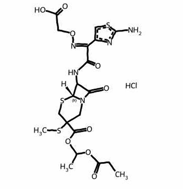 CCC(=O)OC(C)OC(=O)C1(SC)CS[C@@H]2C(NC(=O)C(=NOCC(=O)O)c3csc(N)n3)C(=O)N2C1.Cl